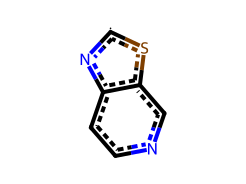 [c]1nc2ccncc2s1